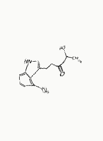 Cc1cccc2[nH]cc(CCC(=O)C(C)O)c12